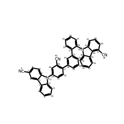 N#Cc1ccc2c(c1)c1ccccc1n2-c1ccc(-c2cccc(-c3ccccc3-n3c4ccccc4c4c(C#N)cccc43)c2)c(C#N)c1